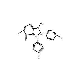 CC(=O)N1c2ccc(I)c(=O)n2[C@@H](c2ccc(Cl)cc2)[C@H]1c1ccc(Cl)cc1